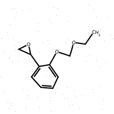 CCOCOc1ccccc1C1CO1